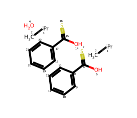 CC(C)C.CC(C)C.O.OC(=S)c1ccccc1.OC(=S)c1ccccc1